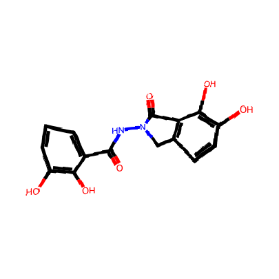 O=C(NN1Cc2ccc(O)c(O)c2C1=O)c1cccc(O)c1O